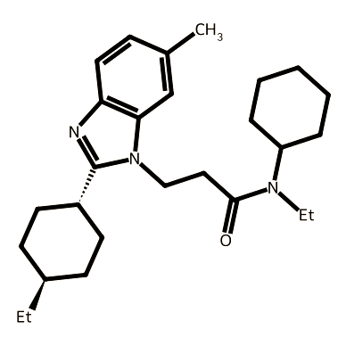 CCN(C(=O)CCn1c2cc(C)ccc2nc1[C@H]1CC[C@H](CC)CC1)C1CCCCC1